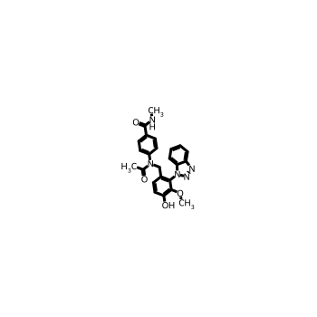 CNC(=O)c1ccc(N(Cc2ccc(O)c(OC)c2-n2nnc3ccccc32)C(C)=O)cc1